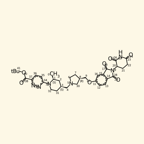 C[C@H]1C[C@@H](CN2CC[C@@H](COc3ccc4c(c3)C(=O)N(C3CCC(=O)NC3=O)C4=O)C2)CCN1c1ccc(C(=O)OC(C)(C)C)nn1